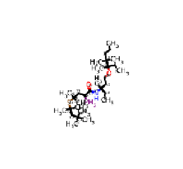 CCCC(C)(C)C(C)(CC)OCCC(C)(CC)NC(=O)C(P)CC(C)(C)SC(C)(C)CC(C)(C)C